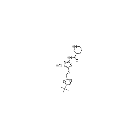 CC(C)(C)c1cnc(CSc2cnc(NC(=O)[C@@H]3CCCNC3)s2)o1.Cl